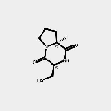 O=C1N[C@@H](CS)C(=O)N2CCC[C@@H]12